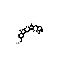 Cc1[nH]c(C=C2C(=O)Nc3ccc(CO)cc32)c(C)c1CN1CC2C[C@@H]2C1